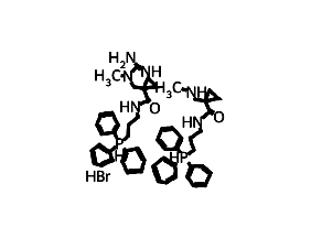 Br.CN(CC1(C(=O)NCCC[PH](c2ccccc2)(c2ccccc2)c2ccccc2)CC1)C(=N)N.CNCC1(C(=O)NCCC[PH](c2ccccc2)(c2ccccc2)c2ccccc2)CC1